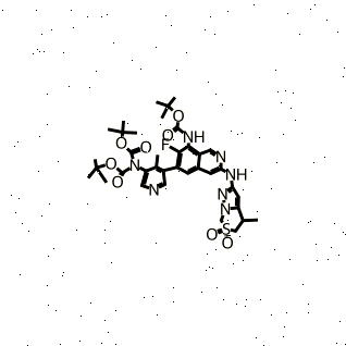 Cc1c(-c2cc3cc(Nc4cc5n(n4)CS(=O)(=O)CC5C)ncc3c(NC(=O)OC(C)(C)C)c2F)cncc1N(C(=O)OC(C)(C)C)C(=O)OC(C)(C)C